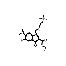 CCOC(=O)c1cn(COCCS(C)(C)C)c2cc(N(C)C)c(F)cc2c1=O